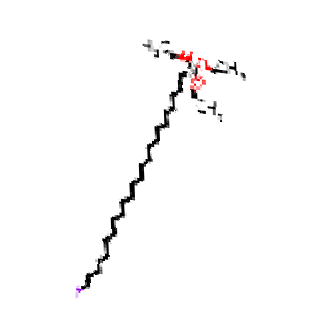 CCO[Si](CCCCCCCCCCCCCCCCCCCCCCCCI)(OCC)OCC